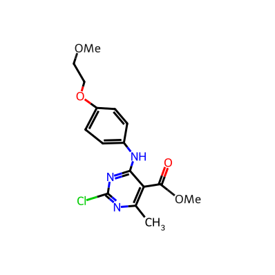 COCCOc1ccc(Nc2nc(Cl)nc(C)c2C(=O)OC)cc1